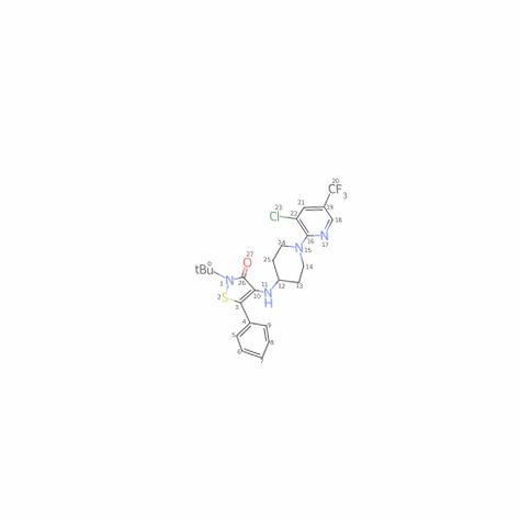 CC(C)(C)n1sc(-c2ccccc2)c(NC2CCN(c3ncc(C(F)(F)F)cc3Cl)CC2)c1=O